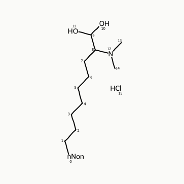 CCCCCCCCCCCCCCCCC(C(O)O)N(C)C.Cl